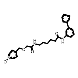 O=C(COCc1cc[n+]([O-])cc1)NCCCCCC(=O)Nc1cccc(-c2ccccc2)c1